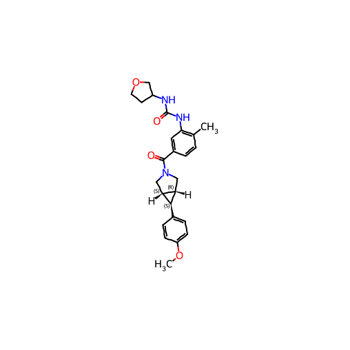 COc1ccc([C@H]2[C@@H]3CN(C(=O)c4ccc(C)c(NC(=O)NC5CCOC5)c4)C[C@@H]32)cc1